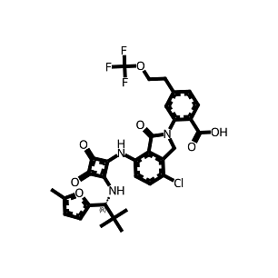 Cc1ccc([C@H](Nc2c(Nc3ccc(Cl)c4c3C(=O)N(c3cc(CCOC(F)(F)F)ccc3C(=O)O)C4)c(=O)c2=O)C(C)(C)C)o1